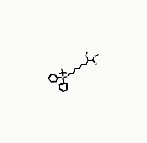 COC(=O)C(CCCCCCO[Si](c1ccccc1)(c1ccccc1)C(C)(C)C)OC